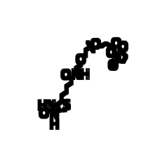 CC(C)(CCOCCNC(=O)CCCCC1SCC2NC(=O)NC21)OCCC(=O)ON1C(=O)CCC1=O